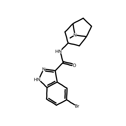 CN1C2CCC1CC(NC(=O)c1n[nH]c3ccc(Br)cc13)C2